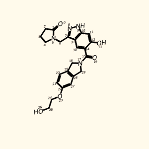 O=C1CCCN1Cc1n[nH]c2cc(O)c(C(=O)N3Cc4ccc(OCCO)cc4C3)cc12